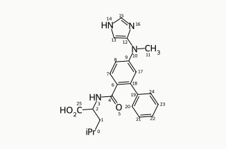 CC(C)CC(NC(=O)c1ccc(N(C)c2c[nH]cn2)cc1-c1ccccc1)C(=O)O